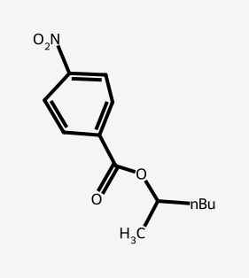 CCCCC(C)OC(=O)c1ccc([N+](=O)[O-])cc1